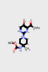 COC(=O)c1nc(N2CCC(C)(NC(=O)OC(C)(C)C)CC2)ncc1Br